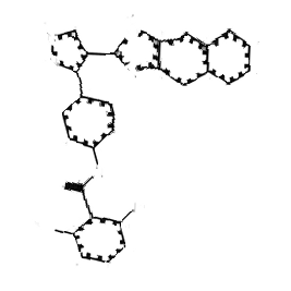 O=C(Nc1ccc(-c2n[nH]cc2-c2nc3cc4ccccc4cc3o2)cc1)c1c(F)cccc1I